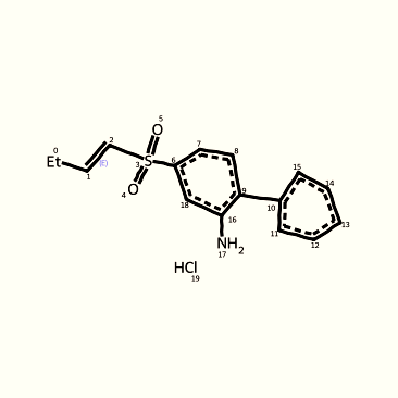 CC/C=C/S(=O)(=O)c1ccc(-c2ccccc2)c(N)c1.Cl